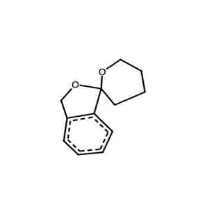 c1ccc2c(c1)COC21CCCCO1